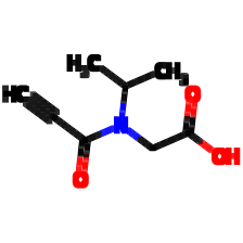 C#CC(=O)N(CC(=O)O)C(C)C